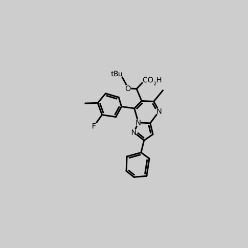 Cc1ccc(-c2c(C(OC(C)(C)C)C(=O)O)c(C)nc3cc(-c4ccccc4)nn23)cc1F